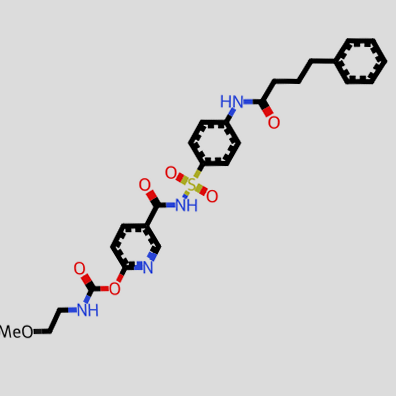 COCCNC(=O)Oc1ccc(C(=O)NS(=O)(=O)c2ccc(NC(=O)CCCc3ccccc3)cc2)cn1